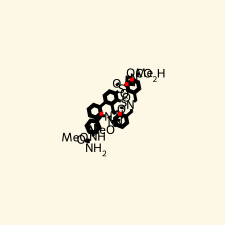 COc1ccc(CN(Cc2ccc(OC)cc2)S(=O)(=O)c2c(S(=O)(=O)C3CN(C(=O)O)C3)ccc(-c3cccc(C=NNC(N)=O)c3)c2-c2nnnn2Cc2ccc(OC)cc2)cc1